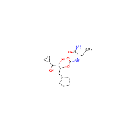 CSCC(NC(=O)OC(CC1CCCCC1)C(O)C(O)C1CC1)C(N)=O